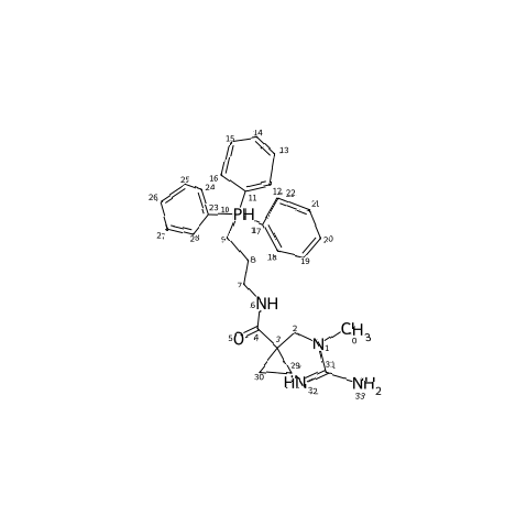 CN(CC1(C(=O)NCCC[PH](c2ccccc2)(c2ccccc2)c2ccccc2)CC1)C(=N)N